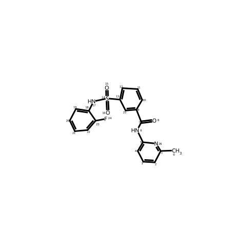 Cc1cccc(NC(=O)c2cccc(S(=O)(=O)Nc3ccccc3F)c2)n1